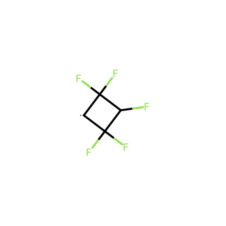 FC1C(F)(F)[CH]C1(F)F